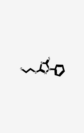 [S]CCSc1nn(-c2ccccc2)c(=S)s1